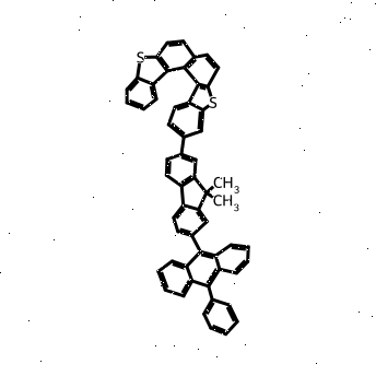 CC1(C)c2cc(-c3ccc4c(c3)sc3ccc5ccc6sc7ccccc7c6c5c34)ccc2-c2ccc(-c3c4ccccc4c(-c4ccccc4)c4ccccc34)cc21